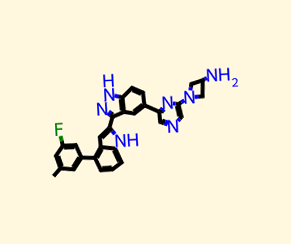 Cc1cc(F)cc(-c2cccc3[nH]c(-c4n[nH]c5ccc(-c6cncc(N7CC(N)C7)n6)cc45)cc23)c1